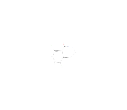 O=C1NCCc2c(F)ccc(F)c21